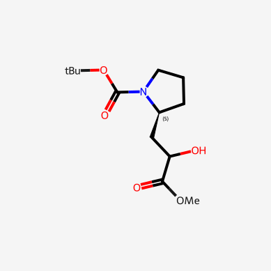 COC(=O)C(O)C[C@@H]1CCCN1C(=O)OC(C)(C)C